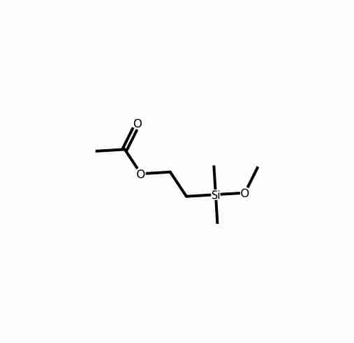 CO[Si](C)(C)CCOC(C)=O